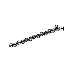 COCCOCCOCCOCCOCCOCCOCCOCCOCCOCCOCCOCCC(=O)O